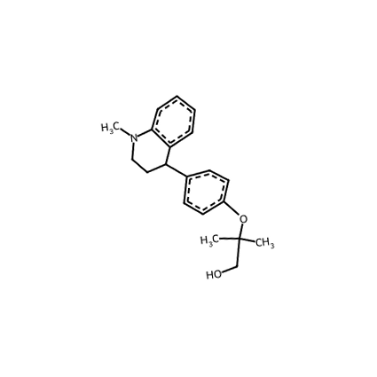 CN1CCC(c2ccc(OC(C)(C)CO)cc2)c2ccccc21